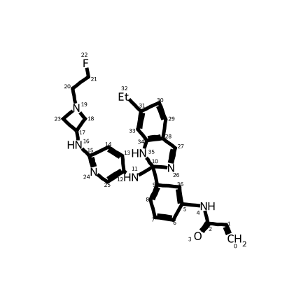 C=CC(=O)Nc1cccc(C2(Nc3ccc(NC4CN(CCF)C4)nc3)N=Cc3ccc(CC)cc3N2)c1